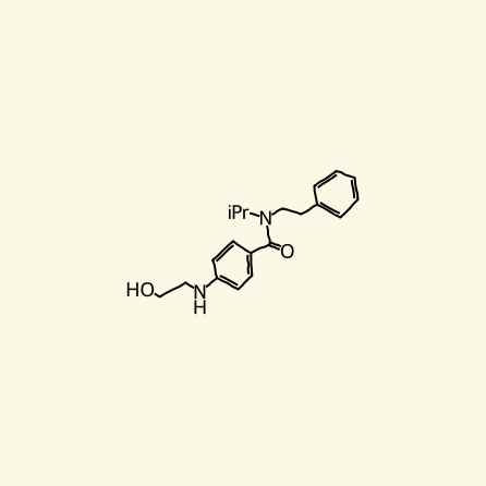 CC(C)N(CCc1ccccc1)C(=O)c1ccc(NCCO)cc1